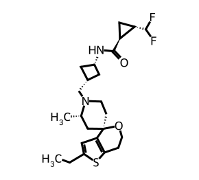 CCc1cc2c(s1)CCO[C@@]21CCN(C[C@H]2C[C@@H](NC(=O)[C@H]3C[C@@H]3C(F)F)C2)[C@@H](C)C1